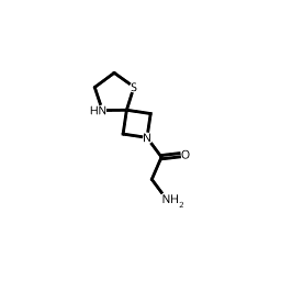 NCC(=O)N1CC2(C1)NCCS2